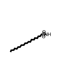 CCCCCCCCCCCCCCCCCCCCS([NH])(=O)=O